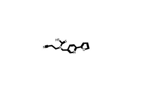 N#CCCN(Cc1ccc(-c2ccco2)nc1)C(=S)S